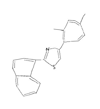 Cc1ccc(-c2csc(-c3cccc4ccccc34)n2)c(C)c1